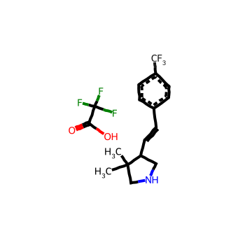 CC1(C)CNCC1C=Cc1ccc(C(F)(F)F)cc1.O=C(O)C(F)(F)F